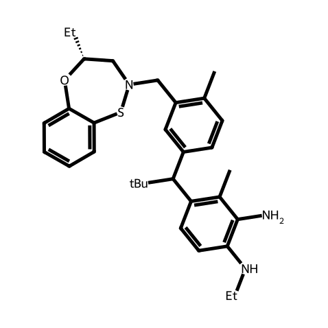 CCNc1ccc(C(c2ccc(C)c(CN3C[C@@H](CC)Oc4ccccc4S3)c2)C(C)(C)C)c(C)c1N